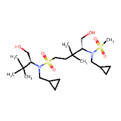 CC(C)(C)[C@@H](CO)N(CC1CC1)S(=O)(=O)CCC(C)(C)[C@H](CO)N(CC1CC1)S(C)(=O)=O